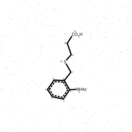 CC(=O)Nc1ccccc1CSCCC(=O)O